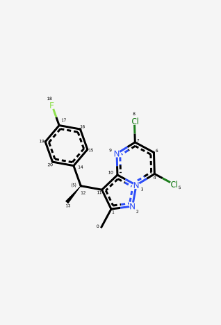 Cc1nn2c(Cl)cc(Cl)nc2c1[C@@H](C)c1ccc(F)cc1